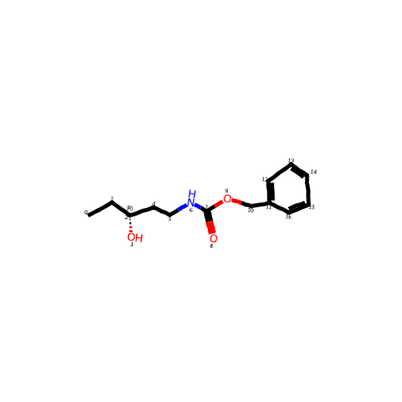 CC[C@@H](O)CCNC(=O)OCc1ccccc1